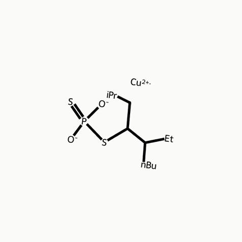 CCCCC(CC)C(CC(C)C)SP([O-])([O-])=S.[Cu+2]